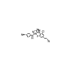 N#C/C=C/c1cc(F)c(-n2nnc3cnc(Nc4ccc(C#N)cc4)nc32)c(Cl)c1